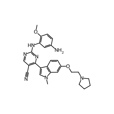 COc1ccc(N)cc1Nc1ncc(C#N)c(-c2cn(C)c3cc(OCCN4CCCC4)ccc23)n1